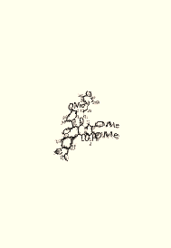 COc1ccc(C(=O)/C(=C(/C(=O)O)c2ccc3c(c2)OCO3)C(OCCCN2CCOCC2)c2ccc(OC)c(OC)c2)cc1